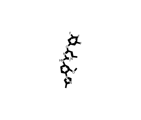 C=C(/N=C(\C=C(\C)N)Oc1cc(F)c(F)c(F)c1)Nc1ccc(-n2cnc(C)c2)c(OC)c1